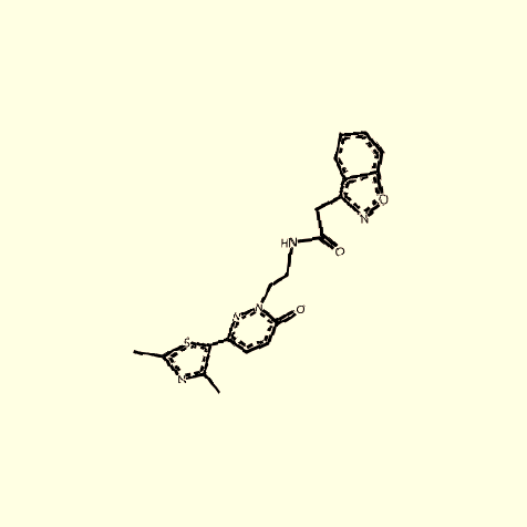 Cc1nc(C)c(-c2ccc(=O)n(CCNC(=O)Cc3noc4ccccc34)n2)s1